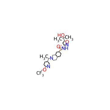 CC(c1ccc(OCC(F)(F)F)nc1)N1CCc2ccc([S+]([O-])Nc3cc(C(C)(C)O)on3)cc2C1